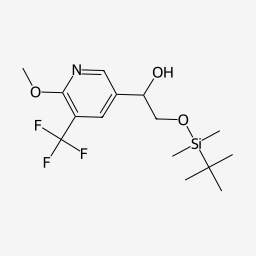 COc1ncc(C(O)CO[Si](C)(C)C(C)(C)C)cc1C(F)(F)F